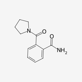 NC(=O)c1ccccc1C(=O)N1CCCC1